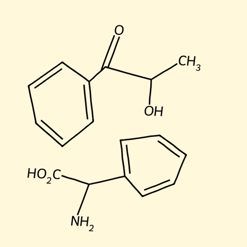 CC(O)C(=O)c1ccccc1.NC(C(=O)O)c1ccccc1